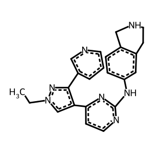 CCn1cc(-c2ccnc(Nc3ccc4c(c3)CCNC4)n2)c(-c2cccnc2)n1